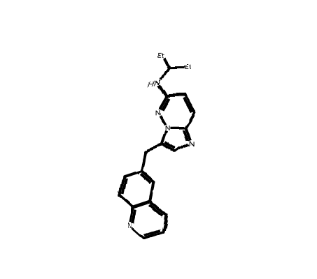 CCC(CC)Nc1ccc2ncc(Cc3ccc4ncccc4c3)n2n1